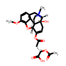 COc1ccc2c3c1O[C@H]1C(OC(=O)C[C@H](OC(C)=O)C(=O)O)=CC[C@@]4(O)[C@@H](C2)N(C)CC[C@]314